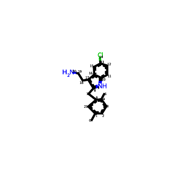 Cc1ccc(C)c(Cc2[nH]c3ccc(Cl)cc3c2CCN)c1